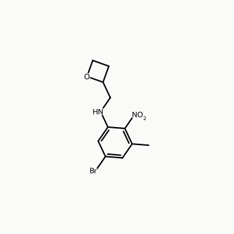 Cc1cc(Br)cc(NCC2CCO2)c1[N+](=O)[O-]